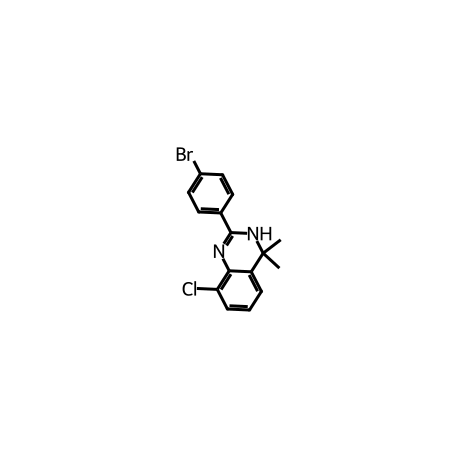 CC1(C)NC(c2ccc(Br)cc2)=Nc2c(Cl)cccc21